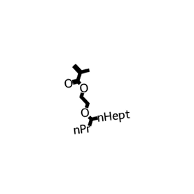 C=C(C)C(=O)OCCOC(CCC)CCCCCCC